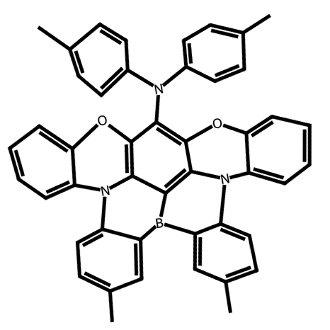 Cc1ccc(N(c2ccc(C)cc2)c2c3oc4ccccc4n4c3c3c5c2oc2ccccc2n5-c2ccc(C)cc2B3c2cc(C)ccc2-4)cc1